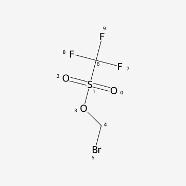 O=S(=O)(OCBr)C(F)(F)F